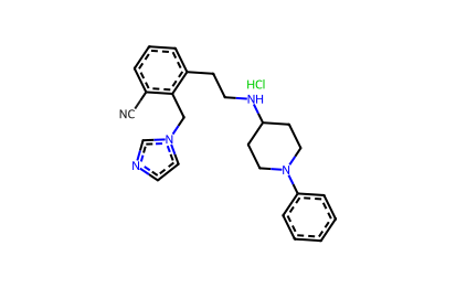 Cl.N#Cc1cccc(CCNC2CCN(c3ccccc3)CC2)c1Cn1ccnc1